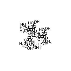 CN(CC(O)CO)C(=O)c1c(I)c(NC(=O)C(O)CO)c(I)c(C(=O)NCC(CNC(=O)c2c(I)c(NC(=O)C(O)CO)c(I)c(C(=O)N(C)CC(O)CO)c2I)CNC(=O)c2c(I)c(NC(=O)C(O)CO)c(I)c(C(=O)N(C)CC(O)CO)c2I)c1I